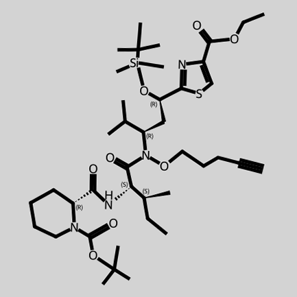 C#CCCCON(C(=O)[C@@H](NC(=O)[C@H]1CCCCN1C(=O)OC(C)(C)C)[C@@H](C)CC)[C@H](C[C@@H](O[Si](C)(C)C(C)(C)C)c1nc(C(=O)OCC)cs1)C(C)C